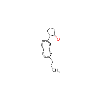 CCCc1ccc2ccc(C3CCCC3=O)cc2c1